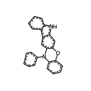 c1ccc(N2c3ccccc3Oc3cc4[nH]c5ccccc5c4cc32)cc1